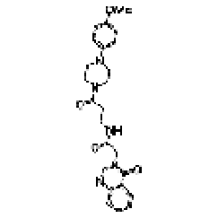 COc1ccc(N2CCN(C(=O)CCNC(=O)Cn3cnc4ccccc4c3=O)CC2)cc1